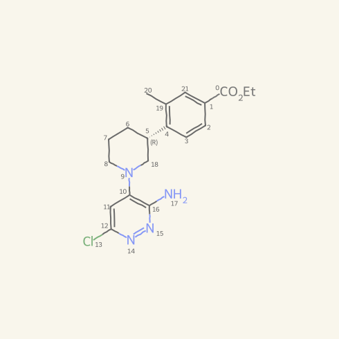 CCOC(=O)c1ccc([C@H]2CCCN(c3cc(Cl)nnc3N)C2)c(C)c1